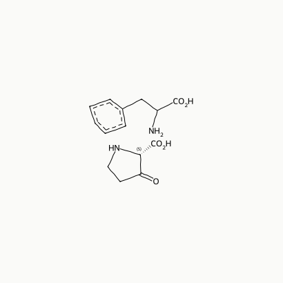 NC(Cc1ccccc1)C(=O)O.O=C(O)[C@H]1NCCC1=O